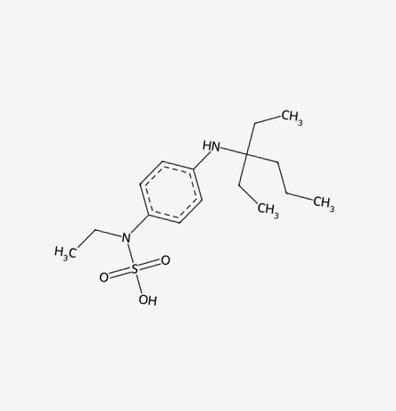 CCCC(CC)(CC)Nc1ccc(N(CC)S(=O)(=O)O)cc1